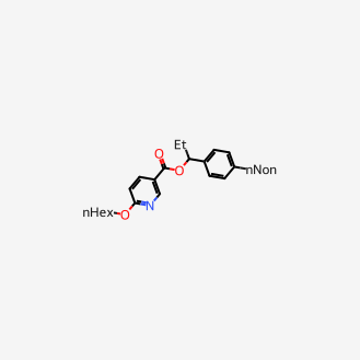 CCCCCCCCCc1ccc(C(CC)OC(=O)c2ccc(OCCCCCC)nc2)cc1